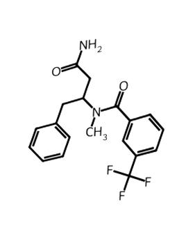 CN(C(=O)c1cccc(C(F)(F)F)c1)C(CC(N)=O)Cc1ccccc1